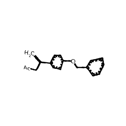 C=C(CC(C)=O)c1ccc(OCc2ccccc2)cc1